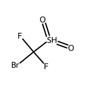 O=[SH](=O)C(F)(F)Br